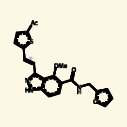 COc1c(C(=O)NCc2ccco2)ccc2[nH]nc(/C=C/c3ccc(C(C)=O)s3)c12